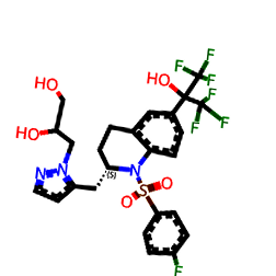 O=S(=O)(c1ccc(F)cc1)N1c2ccc(C(O)(C(F)(F)F)C(F)(F)F)cc2CC[C@H]1Cc1ccnn1CC(O)CO